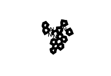 c1ccc(-n2c3ccccc3c3cc(-c4nc5c(ccc6ccccc65)nc4-n4c5ccc6ccccc6c5c5c6c7ccccc7c7ccccc7c6ccc54)ccc32)cc1